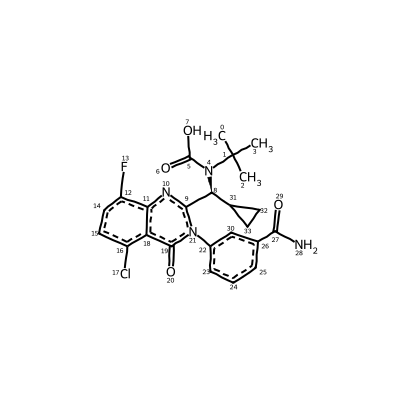 CC(C)(C)N(C(=O)O)[C@H](c1nc2c(F)ccc(Cl)c2c(=O)n1-c1cccc(C(N)=O)c1)C1CC1